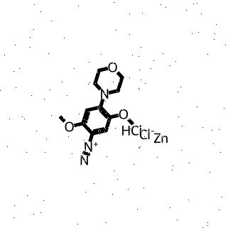 COc1cc(N2CCOCC2)c(OC)cc1[N+]#N.Cl.[Cl-].[Zn]